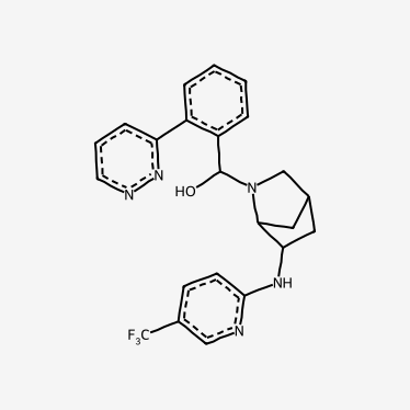 OC(c1ccccc1-c1cccnn1)N1CC2CC(Nc3ccc(C(F)(F)F)cn3)C1C2